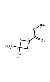 CCC1(C(=O)O)CN(C(=O)OC(C)(C)C)C1